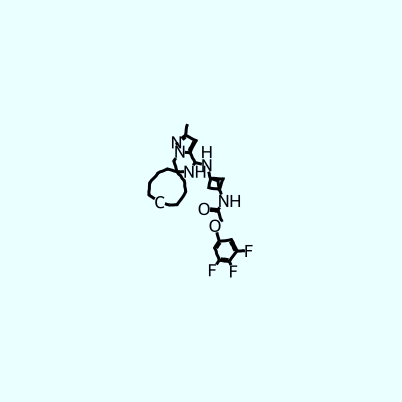 Cc1cc2n(n1)CC1(CCCCCCCCC1)NC2NC12CC(NC(=O)COc3cc(F)c(F)c(F)c3)(C1)C2